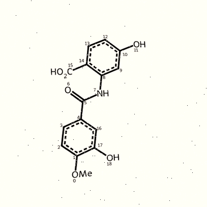 COc1ccc(C(=O)Nc2cc(O)ccc2C(=O)O)cc1O